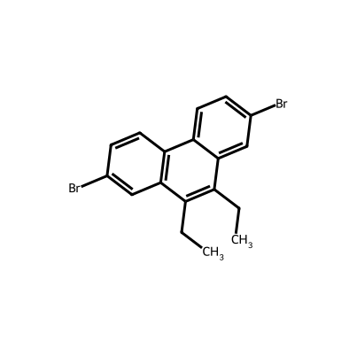 CCc1c(CC)c2cc(Br)ccc2c2ccc(Br)cc12